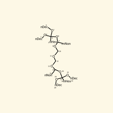 CCCCCCCCCCOC(CCCCCC)(OCCCCCCCCCC)OC(CCCCCCCCC)OCOCOC(CCCCCCCCC)OC(CCCCCC)(OCCCCCCCCCC)OCCCCCCCCCC